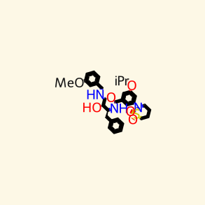 COc1cccc(CNC[C@@H](O)[C@H](Cc2ccccc2)NC(=O)c2cc(OC(C)C)cc(N3CCCCS3(=O)=O)c2)c1